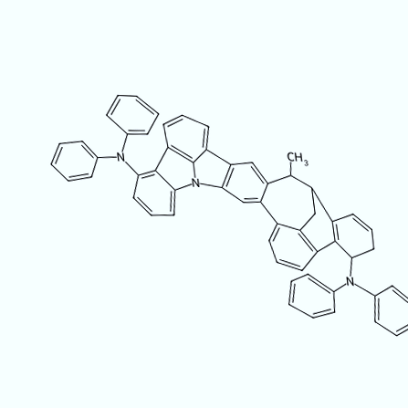 CC1c2cc3c4cccc5c6c(N(c7ccccc7)c7ccccc7)cccc6n(c3cc2-c2cccc3c2CC1C1=C3C(N(c2ccccc2)c2ccccc2)CC=C1)c45